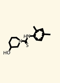 Cc1ccc(NC(=S)N2CCCC(O)C2)c(C)c1